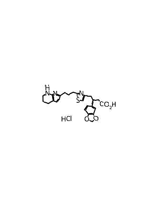 Cl.O=C(O)CC(Cc1csc(CCCc2ccc3c(n2)NCCC3)n1)c1ccc2c(c1)OCO2